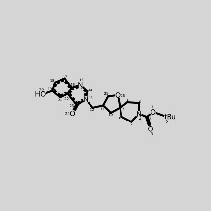 CC(C)(C)OC(=O)N1CCC2(CC1)CC(Cn1cnc3ccc(O)cc3c1=O)CO2